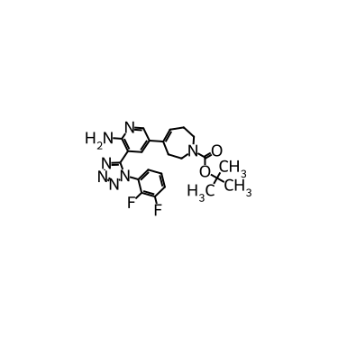 CC(C)(C)OC(=O)N1CCC=C(c2cnc(N)c(-c3nnnn3-c3cccc(F)c3F)c2)CC1